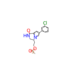 CS(=O)OCCC1CNC(=O)c2cc(-c3cccc(Cl)c3)cn21